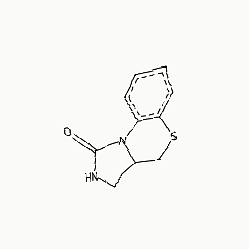 O=C1NCC2CSc3ccccc3N12